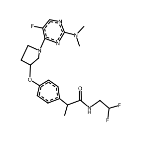 CC(C(=O)NCC(F)F)c1ccc(OC2CCN(c3nc(N(C)C)ncc3F)C2)cc1